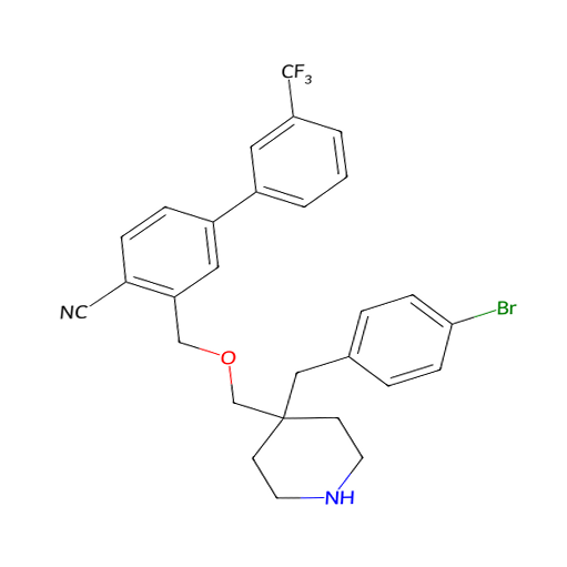 N#Cc1ccc(-c2cccc(C(F)(F)F)c2)cc1COCC1(Cc2ccc(Br)cc2)CCNCC1